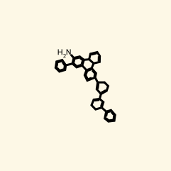 Nc1cc2c(cc1-c1ccccc1)-c1ccc(C3=CC(C4=CCCC(c5ccccc5)=C4)=CCC3)cc1C1C=CC=CC21